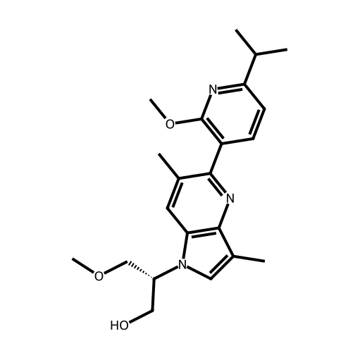 COC[C@@H](CO)n1cc(C)c2nc(-c3ccc(C(C)C)nc3OC)c(C)cc21